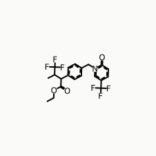 CCOC(=O)C(c1ccc(Cn2cc(C(F)(F)F)ccc2=O)cc1)C(C)C(F)(F)F